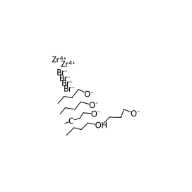 CCCCO.CCCC[O-].CCCC[O-].CCCC[O-].CCCC[O-].[Br-].[Br-].[Br-].[Br-].[Zr+4].[Zr+4]